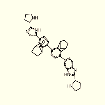 O=C1C2CCC1c1c(-c3ccc(-c4ccc5nc([C@@H]6CCCN6)[nH]c5c4)c4c3C3CCC4C3)ccc(-c3cnc([C@@H]4CCCN4)[nH]3)c12